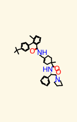 Cc1cccc(C(=O)NCC2=CCC(C)(C(=O)N[C@H](C(=O)N3CCCC3)c3ccccc3)CC2)c1-c1ccc(C(C)(C)C)cc1